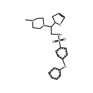 CN1CCN(C(CNS(=O)(=O)c2ccc(Oc3ccccc3)cc2)C2CC=CS2)CC1